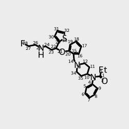 CCC(=O)N(c1ccccc1)C1CCN(Cc2ccccc2OC(CCNCCF)c2cccs2)CC1